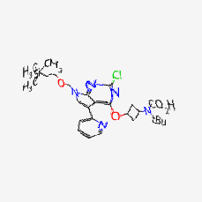 CC(C)(C)N(C(=O)O)C1CC(Oc2nc(Cl)nc3c2c(-c2ccccn2)cn3COCC[Si](C)(C)C)C1